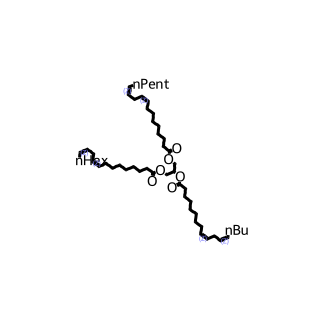 CCCC/C=C\C/C=C\CCCCCCCC(=O)OC(COC(=O)CCCCCCC/C=C\C/C=C\CCCCC)COC(=O)CCCCCCC/C=C\C/C=C\CCCCCC